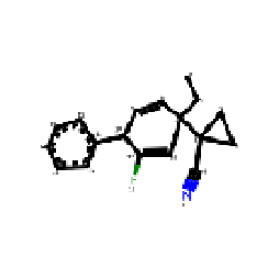 CCC1(C2(C#N)CC2)C=CC(c2ccccc2)C(F)=C1